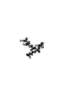 O=[N+]([O-])O.O=[N+]([O-])O.O=[N+]([O-])O.O=[N+]([O-])OCC(CO[N+](=O)[O-])O[N+](=O)[O-]